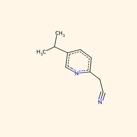 CC(C)c1ccc(CC#N)nc1